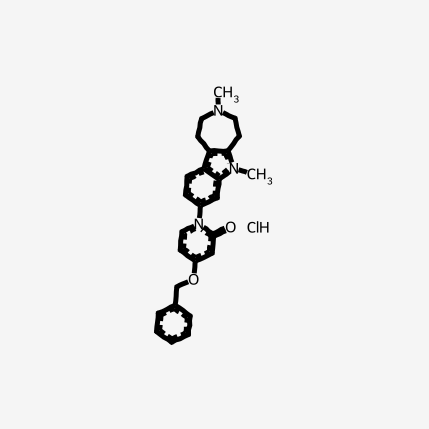 CN1CCc2c(n(C)c3cc(-n4ccc(OCc5ccccc5)cc4=O)ccc23)CC1.Cl